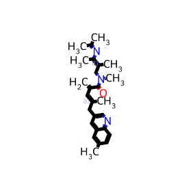 C=C(/C=C(\C)Cc1cnc2ccc(C)cc2c1)C(=O)N(C)C/C(C)=C(\C)N=C(C)C